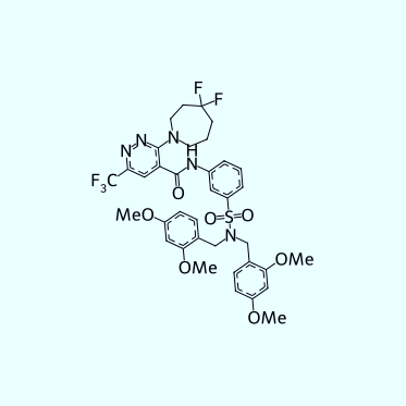 COc1ccc(CN(Cc2ccc(OC)cc2OC)S(=O)(=O)c2cccc(NC(=O)c3cc(C(F)(F)F)nnc3N3CCCC(F)(F)CC3)c2)c(OC)c1